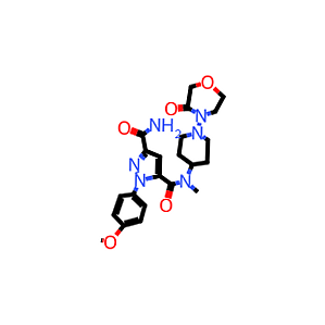 COc1ccc(-n2nc(C(N)=O)cc2C(=O)N(C)C2CCN(N3CCOCC3=O)CC2)cc1